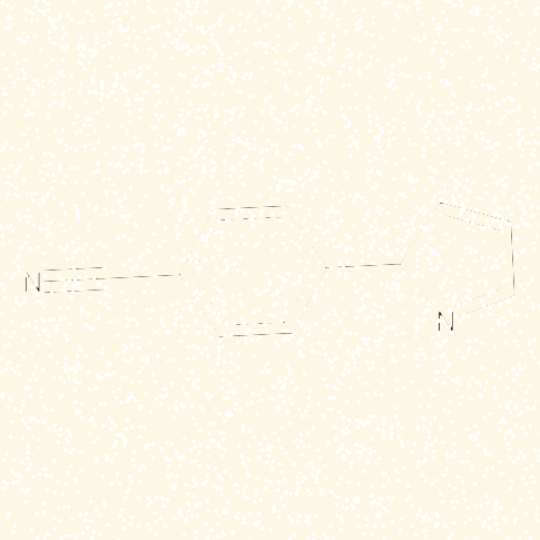 N#Cc1ccc(C2C=CC=N2)cc1